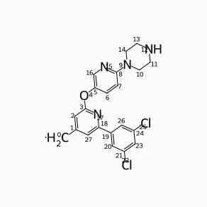 [CH2]c1cc(Oc2ccc(N3CCNCC3)nc2)nc(-c2cc(Cl)cc(Cl)c2)c1